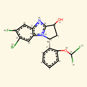 OC1C[C@H](c2ccccc2OC(F)F)n2c1nc1cc(F)c(Br)cc12